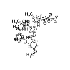 C=C[C@@H]1C[C@]1(NC(=O)[C@@H]1C[C@@H](Oc2nccc3cc(OC)ccc23)CN1C(=O)[C@@H](NC(=O)N(CC)OC)C(C)(C)C)C(=O)NS(=O)(=O)C1CC1